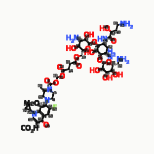 COc1c(N2CCN(C(=O)OCOC(=O)CCC(=O)OC[C@H]3O[C@H](O[C@@H]4[C@@H](O)[C@H](O[C@H]5O[C@H](CN)[C@@H](O)[C@H](O)[C@H]5O)[C@@H](N)C[C@H]4NC(=O)[C@@H](O)CCN)[C@H](O)[C@@H](N)[C@@H]3O)C(C)C2)c(F)cc2c(=O)c(C(=O)O)cn(C3CC3)c12